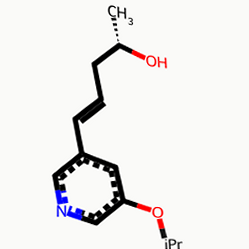 CC(C)Oc1cncc(C=CC[C@H](C)O)c1